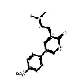 CCOC(=O)c1ccc(-c2c[nH]c(=O)c(CCN(C)C)c2)cc1